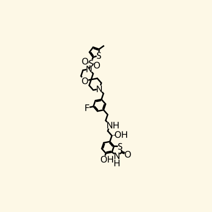 Cc1ccc(S(=O)(=O)N2CCOC3(CCN(Cc4cc(F)cc(CCNC[C@H](O)c5ccc(O)c6[nH]c(=O)sc56)c4)CC3)C2)s1